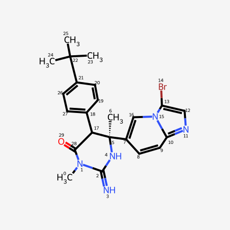 CN1C(=N)N[C@](C)(c2ccc3ncc(Br)n3c2)C(c2ccc(C(C)(C)C)cc2)C1=O